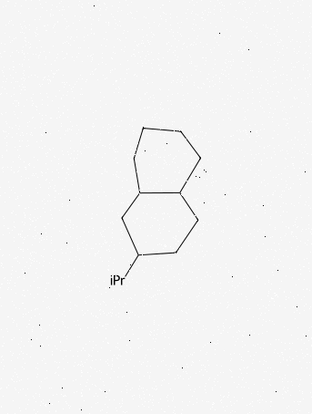 CC(C)C1CCC2CCCCC2C1